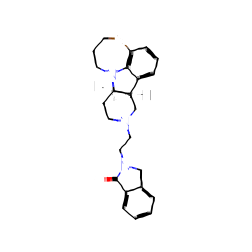 O=C1c2ccccc2CN1CCN1CC[C@@H]2[C@H](C1)c1cccc3c1N2CCCS3